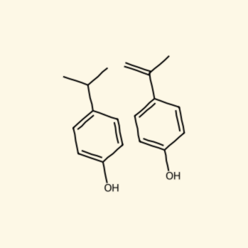 C=C(C)c1ccc(O)cc1.CC(C)c1ccc(O)cc1